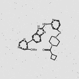 COc1cncnc1-c1ccc2nc(Nc3cc(SN4CCN(C(=O)C5CCC5)CC4)ccn3)[nH]c2c1